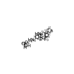 O=[PH](O)OCCCNCc1ccc(NCCCCC2(c3ccc(F)cc3)CCCCC2)c(C(F)(F)C(F)(F)F)c1